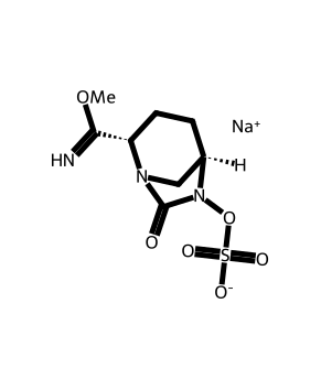 COC(=N)[C@@H]1CC[C@@H]2CN1C(=O)N2OS(=O)(=O)[O-].[Na+]